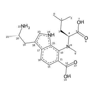 CC(C)C[C@@H](C(=O)O)N(C)c1c(C(=O)O)ccc2c(C[C@H](C)N)c[nH]c12